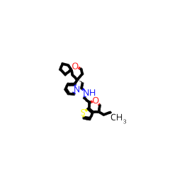 CCCC1COC(CNCC[C@@]2(c3ccccn3)CCOC3(CCCC3)C2)c2sccc21